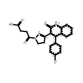 O=C(O)CCC(=O)N1CCC(c2c(-c3ccc(Cl)cc3)c3ccccc3[nH]c2=O)=N1